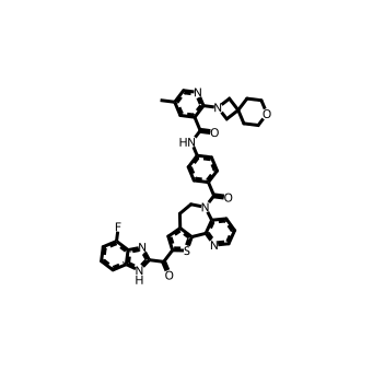 Cc1cnc(N2CC3(CCOCC3)C2)c(C(=O)Nc2ccc(C(=O)N3CCc4cc(C(=O)c5nc6c(F)cccc6[nH]5)sc4-c4ncccc43)cc2)c1